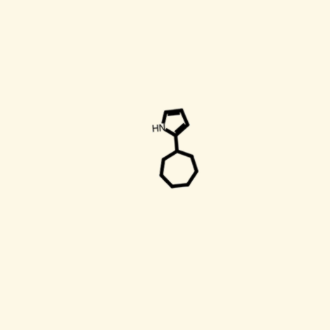 c1c[nH]c(C2CCCCCC2)c1